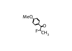 COc1ccc(C(=O)C(C)F)cc1